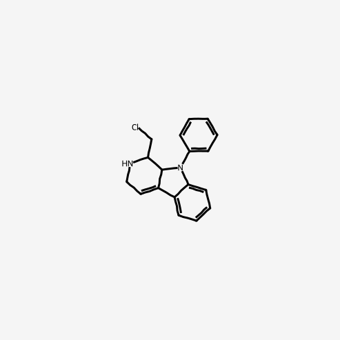 ClCC1NCC=C2c3ccccc3N(c3ccccc3)C21